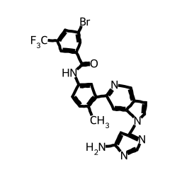 Cc1ccc(NC(=O)c2cc(Br)cc(C(F)(F)F)c2)cc1-c1cc2c(ccn2-c2cc(N)ncn2)cn1